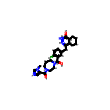 Cn1cncc1C(=O)N1CCCN(C(=O)c2cc(Cc3n[nH]c(=O)c4c3CCCC4)ccc2F)CC1